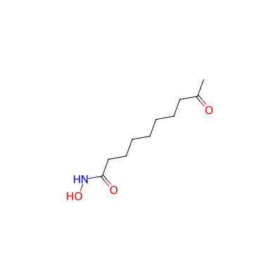 CC(=O)CCCCCCCC(=O)NO